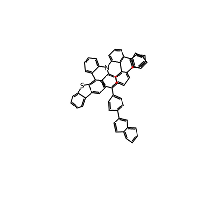 c1ccc(-c2ccccc2-c2c(-c3ccccc3)cccc2N(c2ccc(-c3ccc(-c4ccc5ccccc5c4)cc3)cc2)c2ccccc2-c2cccc3c2sc2ccccc23)cc1